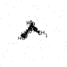 CCCc1ccc(CCC(CC(CCCCNC(=O)c2ccccc2C(=O)O)C(=O)O)C(=O)O)cc1